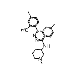 Cc1ccc(-c2nnc(NC3CCCN(C)C3)c3ccc(C)cc23)c(O)c1